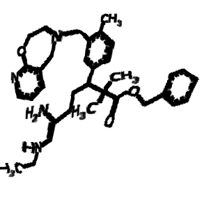 CCN/C=C(\N)CCC(c1ccc(C)c(CN2CCOc3ncccc3C2)c1)C(C)(C)C(=O)OCc1ccccc1